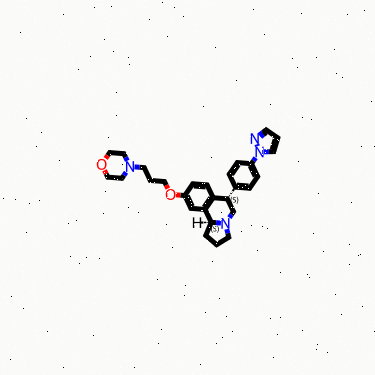 c1cnn(-c2ccc([C@@H]3CN4CCC[C@H]4c4cc(OCCCN5CCOCC5)ccc43)cc2)c1